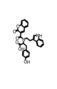 O=C(O)C(Cc1ccc(O)cc1)N(CCc1c[nH]c2ccccc12)C(=O)c1cc2ccccc2oc1=O